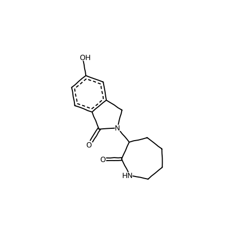 O=C1NCCCCC1N1Cc2cc(O)ccc2C1=O